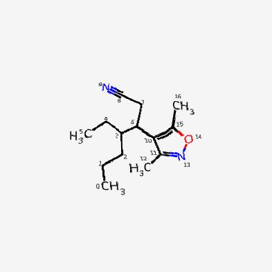 CCCC(CC)C(CC#N)c1c(C)noc1C